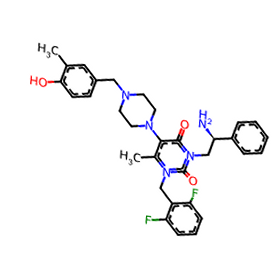 Cc1cc(CN2CCN(c3c(C)n(Cc4c(F)cccc4F)c(=O)n(C[C@@H](N)c4ccccc4)c3=O)CC2)ccc1O